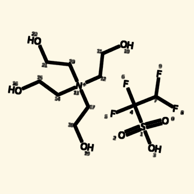 O=S(=O)(O)C(F)(F)C(F)F.OCC[N+](CCO)(CCO)CCO